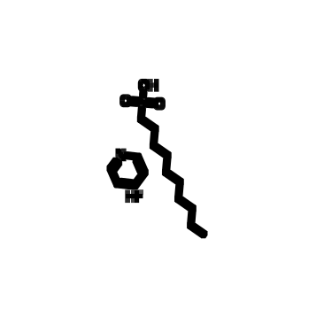 CCCCCCCCCCS(=O)(=O)O.F.c1ccncc1